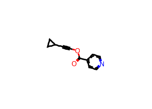 O=C(OC#CC1CC1)c1ccncc1